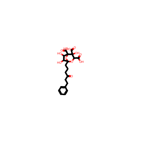 O=C(CCCC12OC(C(=O)O)C(O)(C(=O)O)C(C(=O)O)(O1)C(O)C2O)CCc1ccccc1